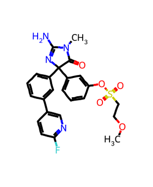 COCCS(=O)(=O)Oc1cccc(C2(c3cccc(-c4ccc(F)nc4)c3)N=C(N)N(C)C2=O)c1